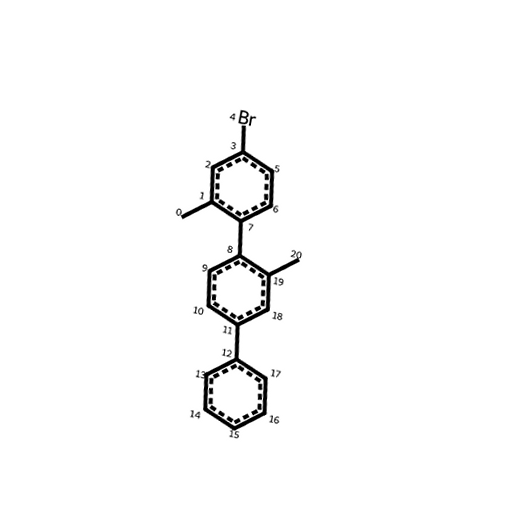 Cc1cc(Br)ccc1-c1ccc(-c2ccccc2)cc1C